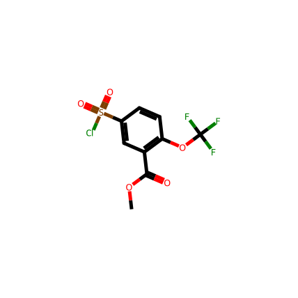 COC(=O)c1cc(S(=O)(=O)Cl)ccc1OC(F)(F)F